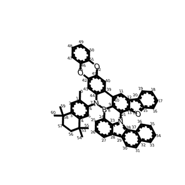 Cc1cc2c(cc1N1B3c4c(cc5c(oc6ccccc65)c4-n4c5c3cccc5c3ccc5ccccc5c34)-c3cc4c(cc31)Oc1ccccc1O4)C(C)(C)CCC2(C)C